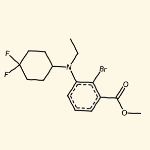 CCN(c1cccc(C(=O)OC)c1Br)C1CCC(F)(F)CC1